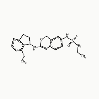 CCNS(=O)(=O)Nc1ccc2c(c1)COC(NC1CCc3cccc(OC)c31)=N2